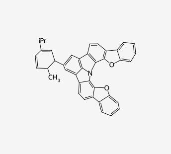 CC(C)C1=CC(c2cc3c4ccc5c6ccccc6oc5c4n4c3c(c2)c2ccc3c5ccccc5oc3c24)C(C)C=C1